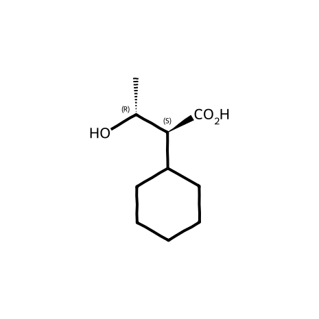 C[C@@H](O)[C@@H](C(=O)O)C1CCCCC1